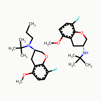 CCCN([C@H]1COc2c(F)ccc(OC)c2C1)C(C)(C)C.COc1ccc(F)c2c1C[C@@H](NC(C)(C)C)CO2